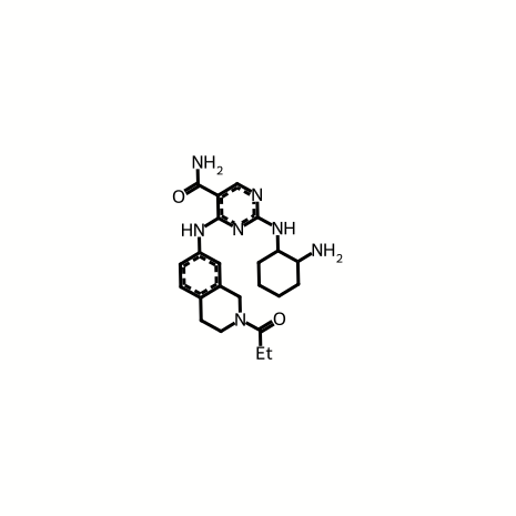 CCC(=O)N1CCc2ccc(Nc3nc(NC4CCCCC4N)ncc3C(N)=O)cc2C1